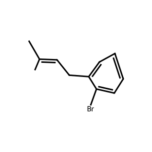 CC(C)=CCc1ccccc1Br